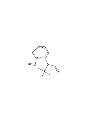 C=Cc1ccccc1C(C=C)[Si](C)(C)C